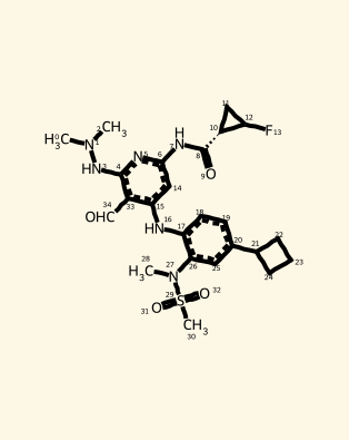 CN(C)Nc1nc(NC(=O)[C@@H]2CC2F)cc(Nc2ccc(C3CCC3)cc2N(C)S(C)(=O)=O)c1C=O